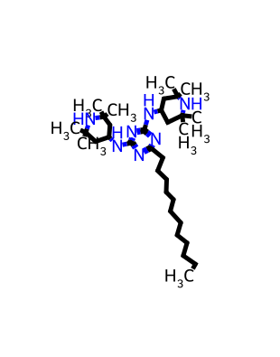 CCCCCCCCCCCCc1nc(NC2CC(C)(C)NC(C)(C)C2)nc(NC2CC(C)(C)NC(C)(C)C2)n1